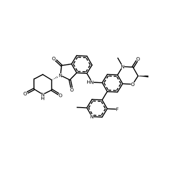 Cc1cc(-c2cc3c(cc2Nc2cccc4c2C(=O)N([C@H]2CCC(=O)NC2=O)C4=O)N(C)C(=O)[C@@H](C)O3)c(F)cn1